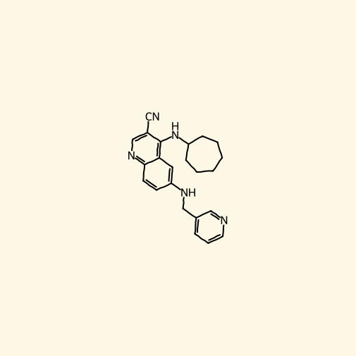 N#Cc1cnc2ccc(NCc3cccnc3)cc2c1NC1CCCCCC1